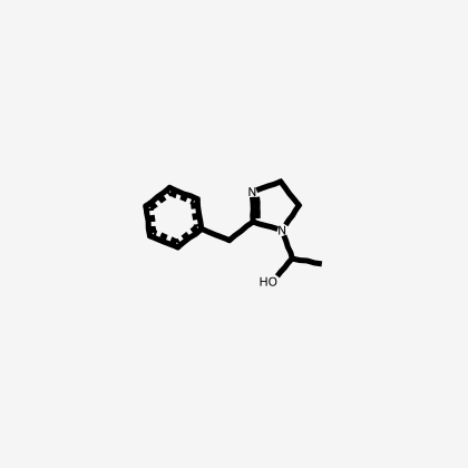 CC(O)N1CCN=C1Cc1ccccc1